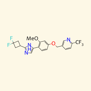 COc1cc(OCc2ccc(C(F)(F)F)nc2)ccc1-c1cnc(C2CC(F)(F)C2)[nH]1